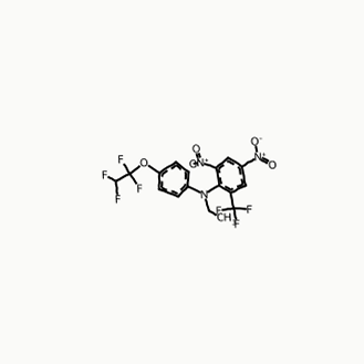 CCN(c1ccc(OC(F)(F)C(F)F)cc1)c1c([N+](=O)[O-])cc([N+](=O)[O-])cc1C(F)(F)F